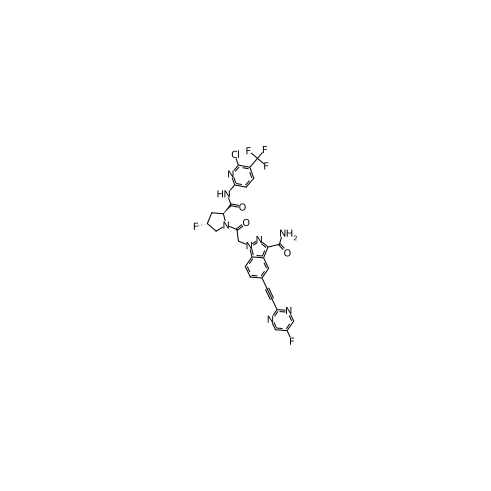 NC(=O)c1nn(CC(=O)N2C[C@H](F)C[C@H]2C(=O)Nc2ccc(C(F)(F)F)c(Cl)n2)c2ccc(C#Cc3ncc(F)cn3)cc12